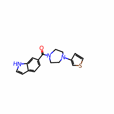 O=C(c1ccc2cc[nH]c2c1)N1CCN(c2ccsc2)CC1